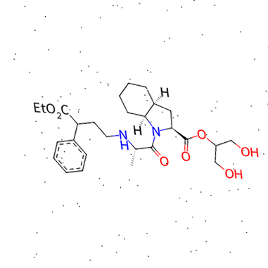 CCOC(=O)C(CCN[C@@H](C)C(=O)N1[C@H](C(=O)OC(CO)CO)C[C@@H]2CCCC[C@@H]21)c1ccccc1